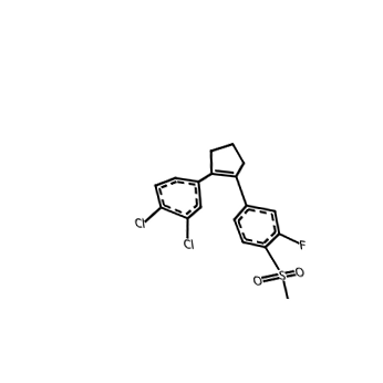 CS(=O)(=O)c1ccc(C2=C(c3ccc(Cl)c(Cl)c3)CCC2)cc1F